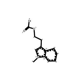 CCC(=O)OCCc1cn(C)c2ccccc12